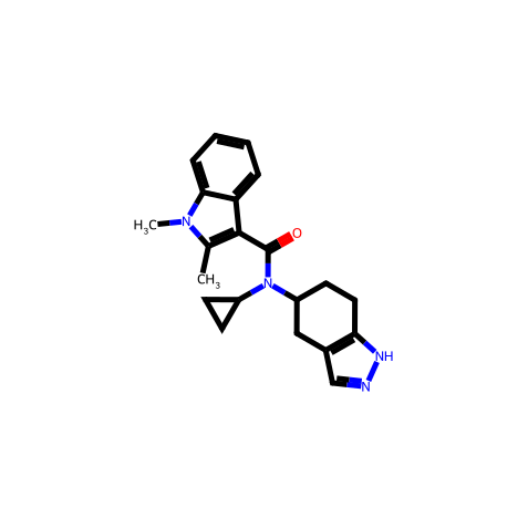 Cc1c(C(=O)N(C2CC2)C2CCc3[nH]ncc3C2)c2ccccc2n1C